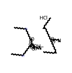 CCCCCCCC/C=C\CCCCCCCC(=O)OC[C@H](COP(=O)(O)OCC[N+](C)(C)C)OC(=O)CCCCCCC/C=C\CCCCCCCC.CCCCCCCCC1CC1CCCCCCCCC(CCCCCCCCC1CC1CCCCCCCC)OC(=O)CCCN(C)C.Cl